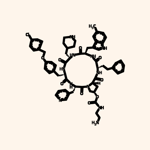 Cc1ccc2[nH]cc(C[C@H]3NC(=O)[C@H](CCc4ccccc4)NC(=O)[C@@H]4C[C@@H](OC(=O)NCCN)CN4C(=O)[C@H](Cc4cccnc4)NC(=O)[C@H](Cc4ccc(OCc5ccc(Cl)cc5)cc4)NC(=O)[C@H](CC4CCNCC4)NC3=O)c2c1